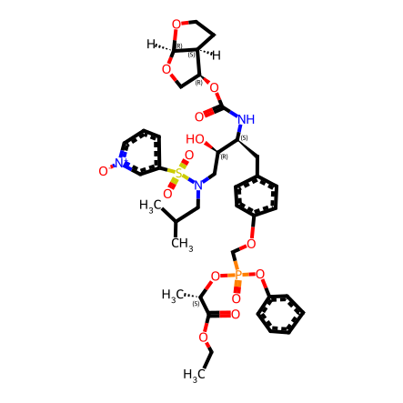 CCOC(=O)[C@H](C)OP(=O)(COc1ccc(C[C@H](NC(=O)O[C@H]2CO[C@H]3OCC[C@H]32)[C@H](O)CN(CC(C)C)S(=O)(=O)c2ccc[n+]([O-])c2)cc1)Oc1ccccc1